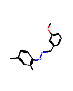 COc1cccc(C=NNc2ccc(C)cc2C)c1